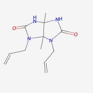 C=CCN1C(=O)NC2(C)NC(=O)N(CC=C)C12C